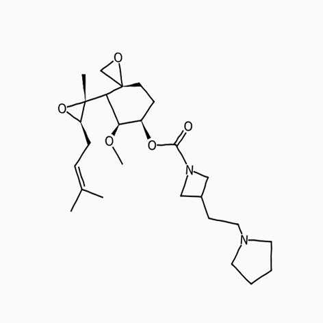 CO[C@H]1C([C@@]2(C)O[C@@H]2CC=C(C)C)[C@]2(CC[C@H]1OC(=O)N1CC(CCN3CCCC3)C1)CO2